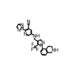 N#Cc1cc(NCc2cnn(-c3cccc4c3CCNC4)c2C(F)(F)F)cnc1-n1nccn1